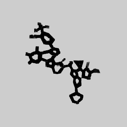 CCP(=O)(CC)c1ccc(-n2ccn(-c3c4c(nn3-c3cc(C)c(F)c(C)c3)CCN(C(=O)c3cc5cc(C6CCOCC6)ccc5n3C3(C5=NOC(O)N5)CC3)[C@H]4C)c2=O)cc1NC